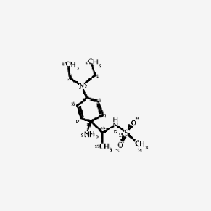 CCN(CC)C1C=CC(N)(C(C)NS(C)(=O)=O)C=C1